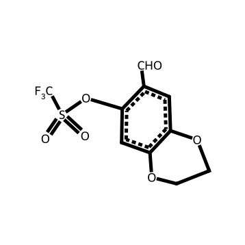 O=Cc1cc2c(cc1OS(=O)(=O)C(F)(F)F)OCCO2